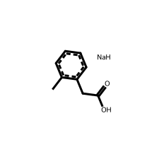 Cc1ccccc1CC(=O)O.[NaH]